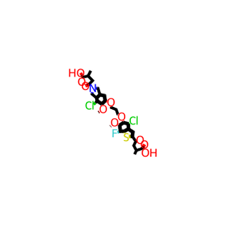 COc1c(OCCCOc2c(OC)c(F)c3sc(C(=O)CC(C)C(=O)O)cc3c2Cl)cc2c(c1Cl)CN(C(=O)CC(C)C(=O)O)C2